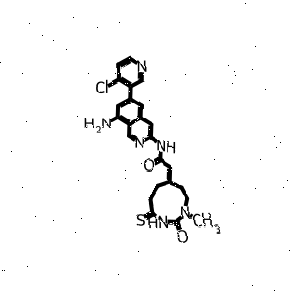 CN1CC/C(=C/C(=O)Nc2cc3cc(-c4cnccc4Cl)cc(N)c3cn2)CCC(=S)NC1=O